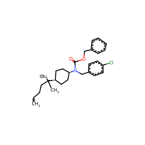 C=CCCC(C)([C@H]1CC[C@@H](N(Cc2ccc(Cl)cc2)C(=O)OCc2ccccc2)CC1)C(C)(C)C